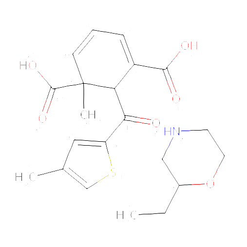 CCC1CNCCO1.Cc1csc(C(=O)C2C(C(=O)O)=CC=CC2(C)C(=O)O)c1